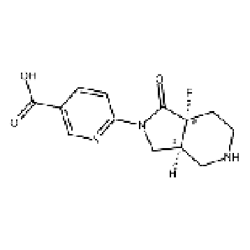 O=C(O)c1ccc(N2C[C@@H]3CNCC[C@]3(F)C2=O)nc1